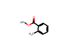 CC[CH]OC(=O)c1ccccc1C